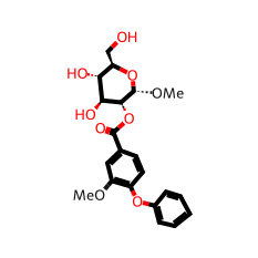 COc1cc(C(=O)O[C@H]2[C@@H](OC)O[C@H](CO)[C@@H](O)[C@@H]2O)ccc1Oc1ccccc1